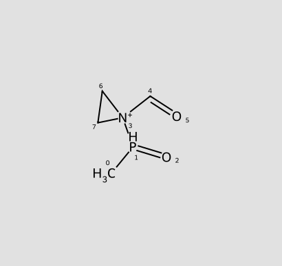 C[PH](=O)[N+]1(C=O)CC1